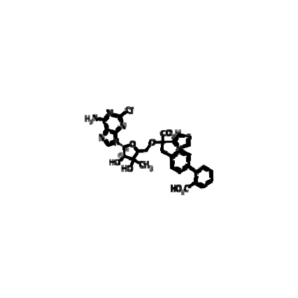 CC1(O)C(COC(Cc2ccc(-c3ccccc3C(=O)O)cc2)(C(=O)O)c2cscn2)O[C@@H](n2cnc3c(N)nc(Cl)nc32)[C@@H]1O